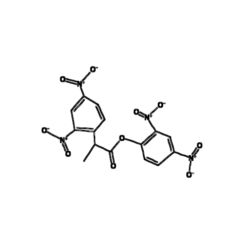 CC(C(=O)Oc1ccc([N+](=O)[O-])cc1[N+](=O)[O-])c1ccc([N+](=O)[O-])cc1[N+](=O)[O-]